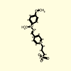 COc1ccc(N(C)/N=C/c2cc[n+](CCCS(=O)(=O)[O-])cc2)cc1